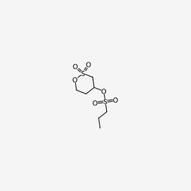 CCCS(=O)(=O)OC1CCOS(=O)(=O)C1